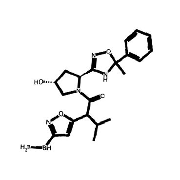 BBc1cc(C(C(=O)N2C[C@H](O)C[C@H]2C2=NOC(C)(c3ccccc3)N2)C(C)C)on1